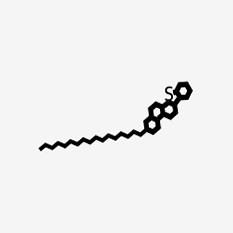 CCCCCCCCCCCCCCCCCc1ccc2c(ccc3c2ccc2c4ccccc4sc23)c1